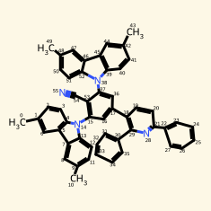 Cc1ccc2c(c1)c1cc(C)ccc1n2-c1cc(-c2ccc(-c3ccccc3)nc2-c2ccccc2)cc(-n2c3ccc(C)cc3c3cc(C)ccc32)c1C#N